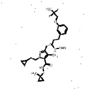 Cc1c(C[C@H](CCc2cccc(OCC(C)(F)F)c2)NC=O)nn(CCC2CC2)c1C(=O)NSC1(C)CC1